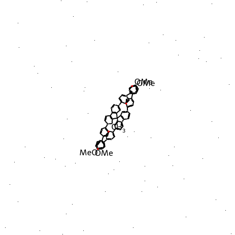 COc1ccc(-c2ccc(-c3ccc4c(c3)C3(C5=C4C=CC(c4ccc(-c6ccc(OC)cc6)cc4)C5C)c4cc(-c5ccc(-c6ccc(OC)cc6)cc5)ccc4-c4ccc(-c5ccc(-c6ccc(OC)cc6)cc5)cc43)cc2)cc1